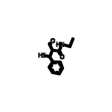 CCNC(=O)C(C=O)C(S)c1ccccc1